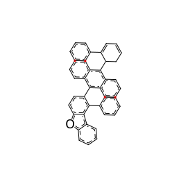 C1=CCC(c2c3ccccc3c(-c3ccc4oc5ccccc5c4c3-c3ccccc3)c3ccccc23)C(c2ccccc2)=C1